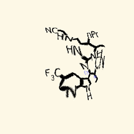 C/C=C(C#N)\C(=N/C(=N)NC(C)C(CCC)CCNCC#N)c1c[nH]c2ncc(C(F)(F)F)cc12